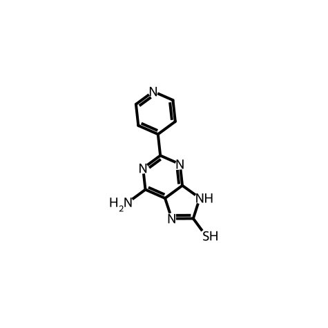 Nc1nc(-c2ccncc2)nc2[nH]c(S)nc12